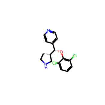 Clc1cccc(Cl)c1O[C@@H](c1ccncc1)[C@H]1CCNC1